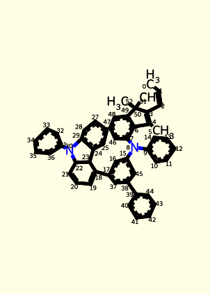 C/C=C\C1=C(C)c2c(N(c3ccccc3)c3cc(C4=CC=CC5C4c4ccccc4N5c4ccccc4)cc(-c4ccccc4)c3)cccc2C1(C)C